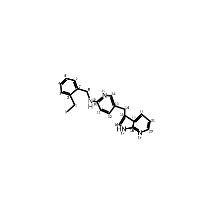 CCc1ccccc1CNc1ccc(Cc2c[nH]c3ncccc23)cn1